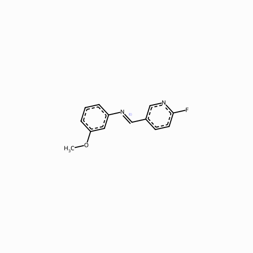 COc1cccc(/N=C/c2ccc(F)nc2)c1